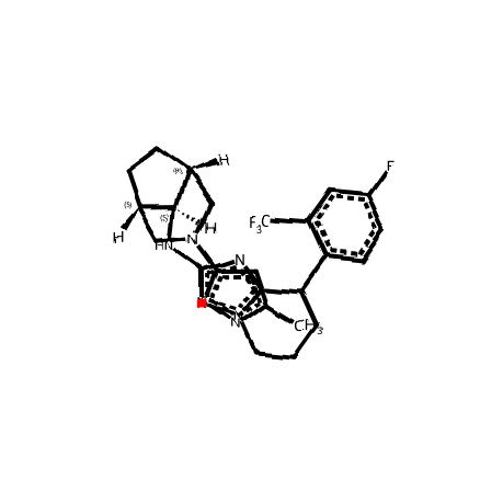 Cc1cc(N2C[C@H]3CC[C@@H](C2)[C@@H]3Nc2nc3n(n2)CCCC3c2ccc(F)cc2C(F)(F)F)sn1